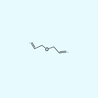 [CH]=CCOCC=[CH]